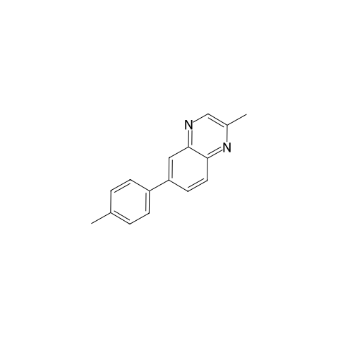 Cc1ccc(-c2ccc3nc(C)cnc3c2)cc1